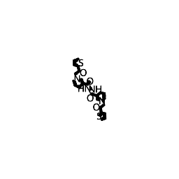 O=C(NNC(=O)C1=CN(CC(=O)c2cccs2)C=CC1)C1=CN(CC(=O)c2cccs2)C=CC1